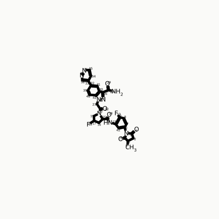 CC1CC(=O)N(c2ccc(F)c(NC(=O)C3CC(F)CN3C(=O)Cn3nc(C(N)=O)c4cc(-c5ccnnc5)ccc43)c2)C1=O